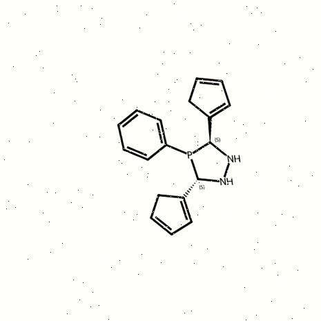 C1=CCC([C@H]2NN[C@H](C3=CC=CC3)P2c2ccccc2)=C1